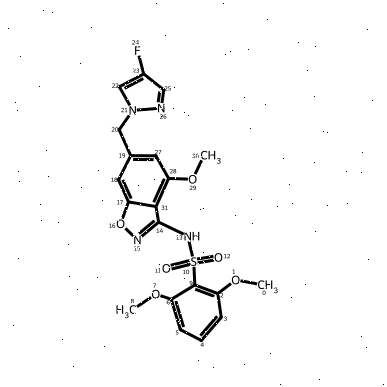 COc1cccc(OC)c1S(=O)(=O)Nc1noc2cc(Cn3cc(F)cn3)cc(OC)c12